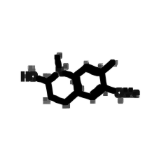 COc1cc2c(cc1C)N(C)C(O)CC2